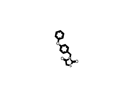 O=C1CSC(=O)N1Cc1ccc(Oc2ccccc2)cc1